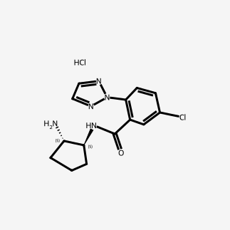 Cl.N[C@H]1CCC[C@@H]1NC(=O)c1cc(Cl)ccc1-n1nccn1